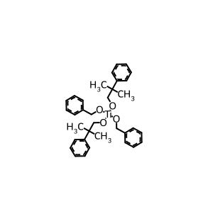 CC(C)(C[O][Ti]([O]Cc1ccccc1)([O]Cc1ccccc1)[O]CC(C)(C)c1ccccc1)c1ccccc1